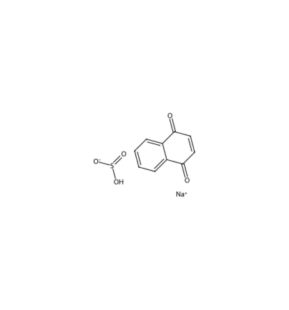 O=C1C=CC(=O)c2ccccc21.O=S([O-])O.[Na+]